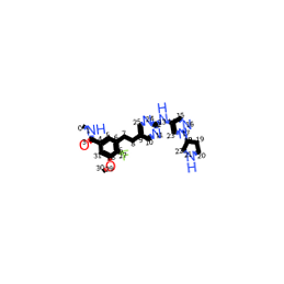 CNC(=O)c1cc(CCc2cnc(Nc3cnn([C@H]4CCNC4)c3)nc2)c(F)c(OC)c1